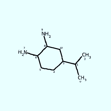 CC(C)C1CCC(N)C(N)C1